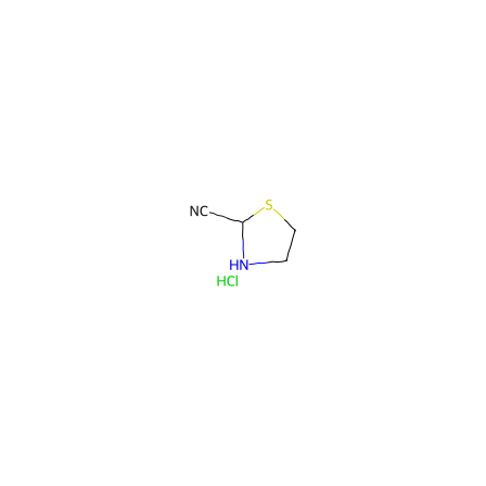 Cl.N#CC1NCCS1